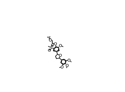 COc1cc(C2CCC(c3cc(OC)c(OCCOSC)c(S(C)(=O)=O)c3)O2)cc(OC)c1OC